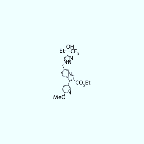 CCOC(=O)c1cn2cc(Cn3cc(C(O)(CC)C(F)(F)F)nn3)ccc2c1-c1ccc(OC)nc1